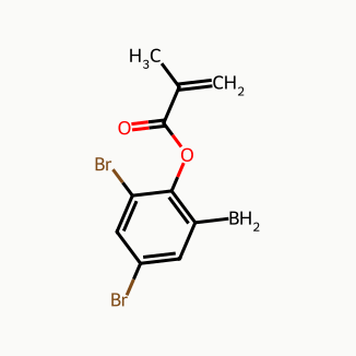 Bc1cc(Br)cc(Br)c1OC(=O)C(=C)C